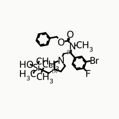 CN(C(=O)OCc1ccccc1)[C@H](CN1CC[C@@H](CC(C)(C)[Si](C)(C)O)C1)c1ccc(F)c(Br)c1